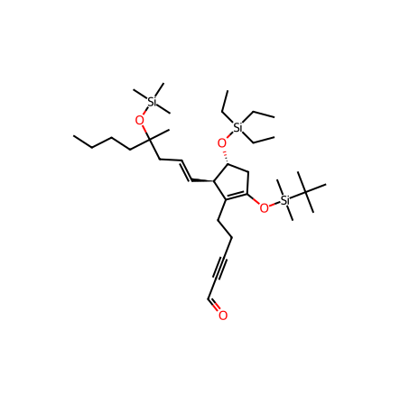 CCCCC(C)(C/C=C/[C@@H]1C(CCC#CC=O)=C(O[Si](C)(C)C(C)(C)C)C[C@H]1O[Si](CC)(CC)CC)O[Si](C)(C)C